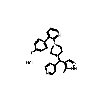 Cc1[nH]ncc1C(c1ccncc1)N1CCN(c2ncccc2-c2ccc(F)cc2)CC1.Cl